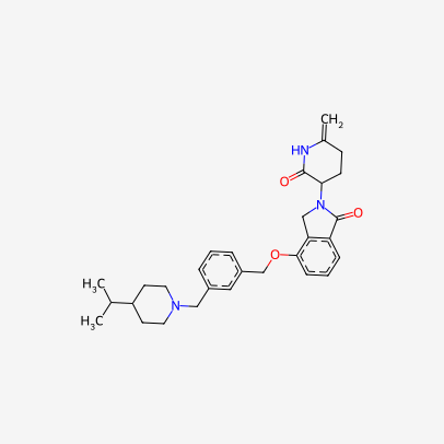 C=C1CCC(N2Cc3c(OCc4cccc(CN5CCC(C(C)C)CC5)c4)cccc3C2=O)C(=O)N1